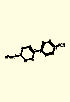 CCCCCC1CC=C(c2ccc(C#N)cc2)CC1